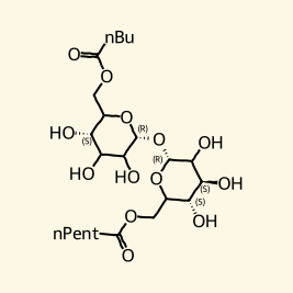 CCCCCC(=O)OCC1O[C@H](O[C@H]2OC(COC(=O)CCCC)[C@@H](O)C(O)C2O)C(O)[C@@H](O)[C@@H]1O